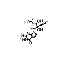 C[C@H](O)[C@H]1O[C@@H](n2ccc3c(=O)[nH]c(N)nc32)[C@@](O)(C#CCl)C1O